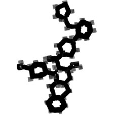 CN(C[C@H]1Cc2ccccc2CN1)[C@H](Cc1ccc(Cl)cc1)C(=O)N1CCN(c2ccccc2CN2CCCC2)CC1